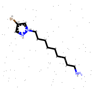 NCCCCCCCCCn1cc(Br)cn1